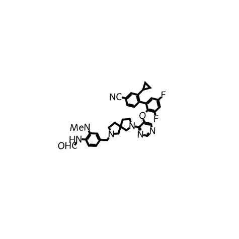 CNc1cc(CN2CCC3(CCN(c4ncncc4Oc4c(F)cc(F)cc4-c4ccc(C#N)cc4C4CC4)C3)C2)ccc1NC=O